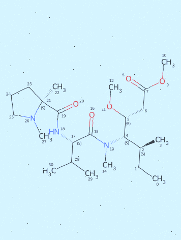 CC[C@H](C)[C@@H]([C@@H](CC(=O)OC)OC)N(C)C(=O)[C@@H](NC(=O)[C@]1(C)CCCN1C)C(C)C